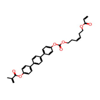 C=CC(=O)OCC/C=C\CCOC(=O)Oc1ccc(-c2ccc(-c3ccc(OC(=O)C(=C)C)cc3)cc2)cc1